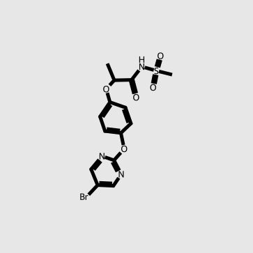 CC(Oc1ccc(Oc2ncc(Br)cn2)cc1)C(=O)NS(C)(=O)=O